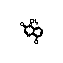 Cn1c(=O)cnc2c(Cl)cccc21